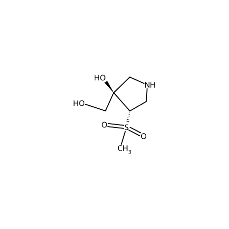 CS(=O)(=O)[C@H]1CNC[C@@]1(O)CO